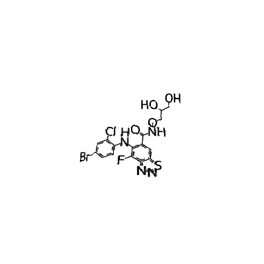 O=C(NOCC(O)CO)c1cc2snnc2c(F)c1Nc1ccc(Br)cc1Cl